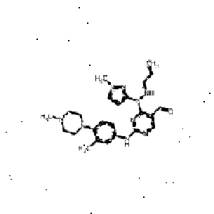 C=CCNN(c1ccn(C)n1)c1nc(Nc2ccc(N3CCN(C)CC3)c(C)c2)ncc1C=O